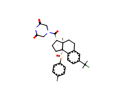 CC(F)(c1ccc2c(c1)CC[C@H]1[C@H](C(=O)N3CC(=O)NC(=O)C3)CC[C@@]21S(=O)(=O)c1ccc(F)cc1)C(F)(F)F